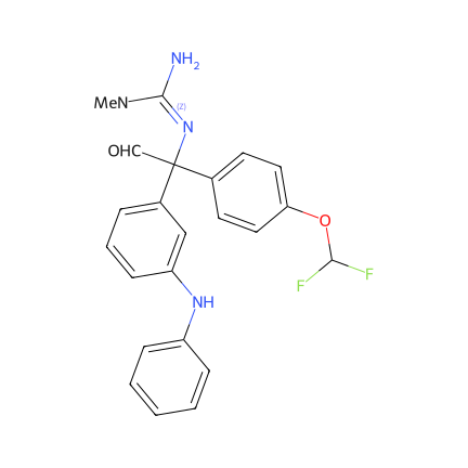 CN/C(N)=N\C(C=O)(c1ccc(OC(F)F)cc1)c1cccc(Nc2ccccc2)c1